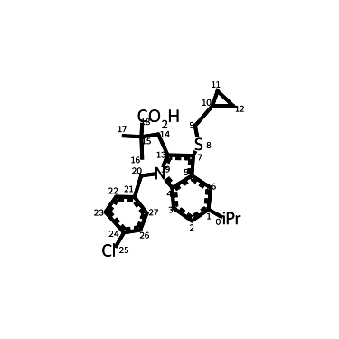 CC(C)c1ccc2c(c1)c(SCC1CC1)c(CC(C)(C)C(=O)O)n2Cc1ccc(Cl)cc1